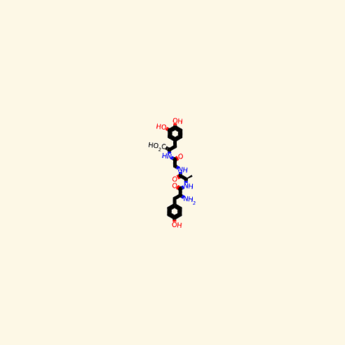 C[C@@H](NC(=O)C(N)Cc1ccc(O)cc1)C(=O)NCC(=O)NC(Cc1ccc(O)c(O)c1)C(=O)O